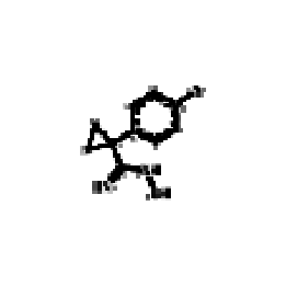 N=C(NO)C1(c2ccc(Br)cc2)CC1